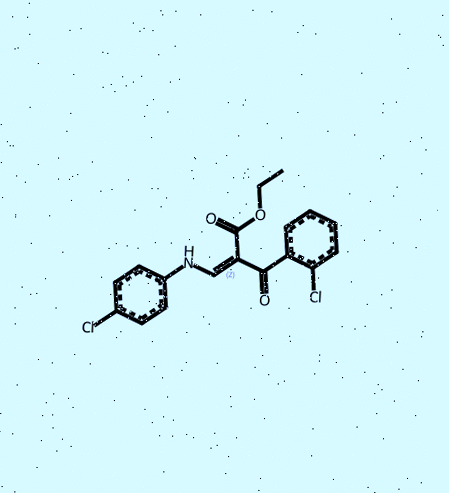 CCOC(=O)/C(=C\Nc1ccc(Cl)cc1)C(=O)c1ccccc1Cl